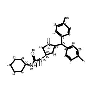 Cc1ccc(C(c2ccc(C)cc2)C2C[C@@H](NC(=O)NC3CCCCC3)CN2)cc1